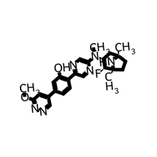 COc1cc(-c2ccc(-c3cnc(N(C)[C@@H]4C[C@@]5(C)CC[C@](C)(N5)[C@@H]4F)cn3)c(O)c2)cnn1